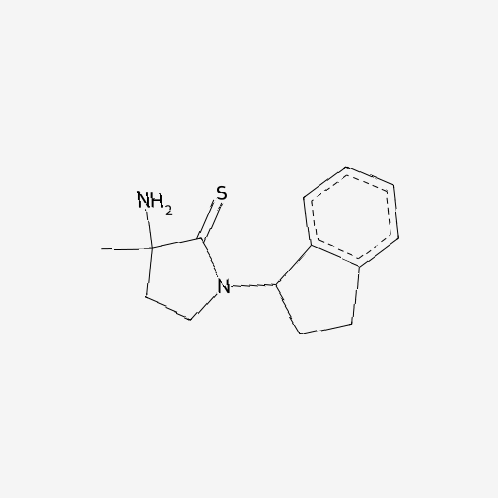 CC1(N)CCN(C2CCc3ccccc32)C1=S